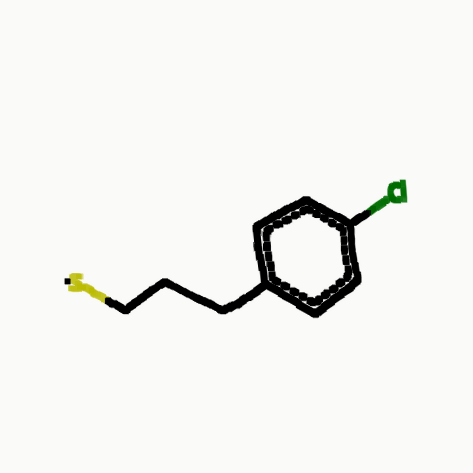 [S]CCCc1ccc(Cl)cc1